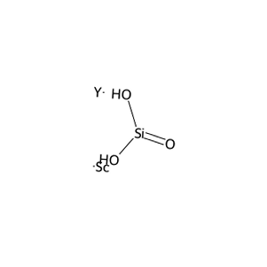 O=[Si](O)O.[Sc].[Y]